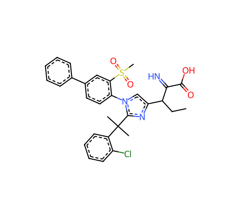 CCC(C(=N)C(=O)O)c1cn(-c2ccc(-c3ccccc3)cc2S(C)(=O)=O)c(C(C)(C)c2ccccc2Cl)n1